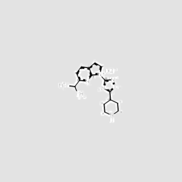 CC(C)c1ccc2ccn(-c3noc(C4CCNCC4)n3)c2n1.Cl